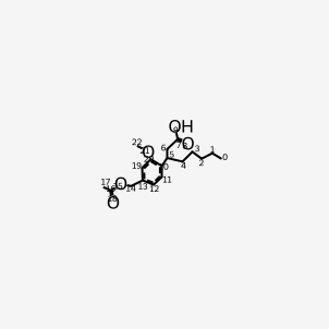 CCCCCC(CC(=O)O)c1ccc(COC(C)=O)cc1OC